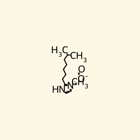 CC(C)CCCCCc1[nH]cc[n+]1C.O=C[O-]